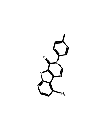 Cc1ccc(-n2cnc3c(sc4nccc(N)c43)c2=O)cc1